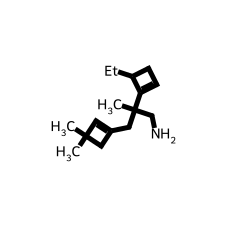 CCC1CC=C1C(C)(CN)CC1=CC(C)(C)C1